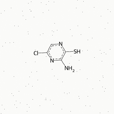 Nc1nc(Cl)cnc1S